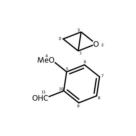 C1C2OC12.COc1ccccc1C=O